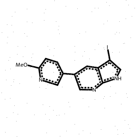 COc1ccc(-c2cnc3[nH]cc(I)c3c2)cn1